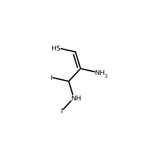 N/C(=C/S)C(I)NI